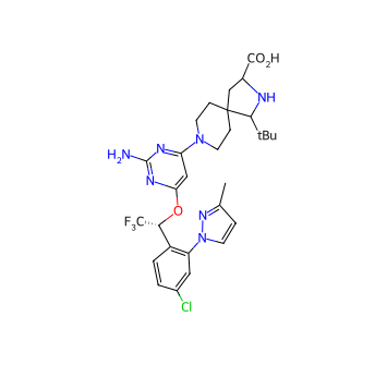 Cc1ccn(-c2cc(Cl)ccc2[C@@H](Oc2cc(N3CCC4(CC3)CC(C(=O)O)NC4C(C)(C)C)nc(N)n2)C(F)(F)F)n1